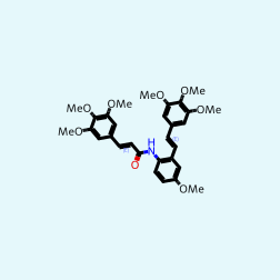 COc1ccc(NC(=O)/C=C/c2cc(OC)c(OC)c(OC)c2)c(/C=C/c2cc(OC)c(OC)c(OC)c2)c1